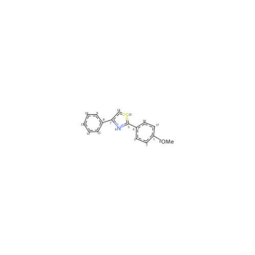 COc1ccc(-c2nc(-c3cc[c]cc3)cs2)cc1